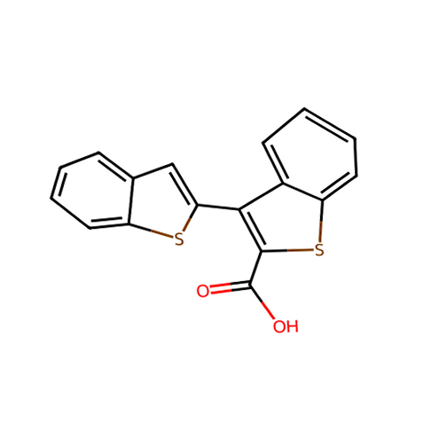 O=C(O)c1sc2ccccc2c1-c1cc2ccccc2s1